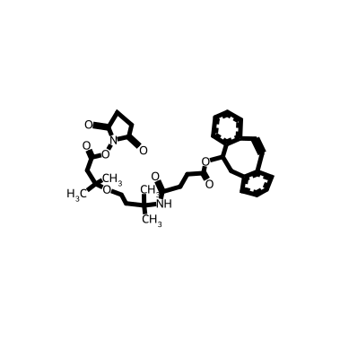 CC(C)(CCOC(C)(C)CC(=O)ON1C(=O)CCC1=O)NC(=O)CCC(=O)OC1Cc2ccccc2C#Cc2ccccc21